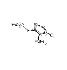 Nc1c(Cl)csc1CC(=O)O